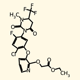 CCOC(=O)COc1ncccc1Oc1cc(N2C(=O)CC(C(F)(F)F)N(C)C2=O)c(F)cc1Cl